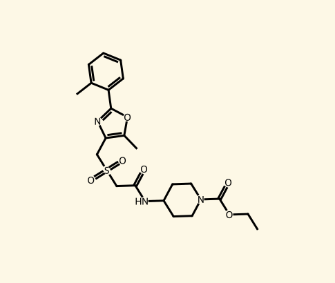 CCOC(=O)N1CCC(NC(=O)CS(=O)(=O)Cc2nc(-c3ccccc3C)oc2C)CC1